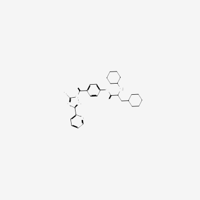 Nc1nc(-c2ccccn2)nn1C(=O)c1ccc(NC(=O)C(CC2CCCCC2)NC2CCCCC2)cc1